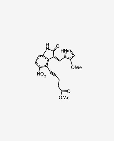 COC(=O)CCC#Cc1c([N+](=O)[O-])ccc2c1/C(=C/c1[nH]ccc1OC)C(=O)N2